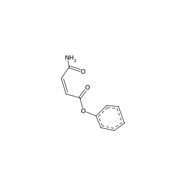 NC(=O)/C=C\C(=O)Oc1ccccc1